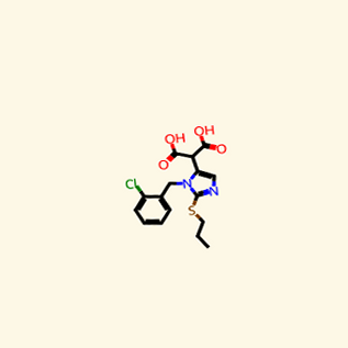 CCCSc1ncc(C(C(=O)O)C(=O)O)n1Cc1ccccc1Cl